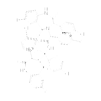 O=C1Nc2ccc(I)cc2C(=O)N(C(C(=O)NC(C(=O)O)(c2ccc(Cl)cc2)N2C(=O)c3cc(Cl)ccc3NC(=O)C2c2ccc(Cl)cc2)c2ccc(Cl)cc2)C1c1ccc(Cl)cc1